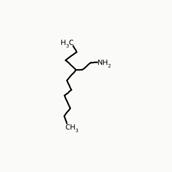 CCCCCCC(CCC)CCN